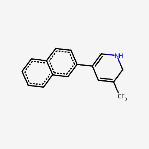 FC(F)(F)C1=CC(c2ccc3ccccc3c2)=[C]NC1